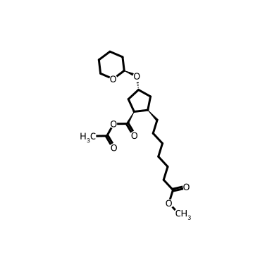 COC(=O)CCCCCC[C@@H]1C[C@@H](O[C@@H]2CCCCO2)C[C@@H]1C(=O)OC(C)=O